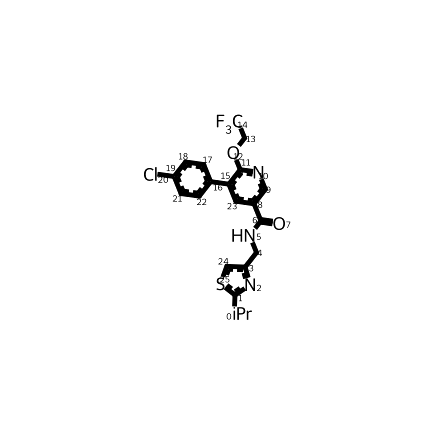 CC(C)c1nc(CNC(=O)c2cnc(OCC(F)(F)F)c(-c3ccc(Cl)cc3)c2)cs1